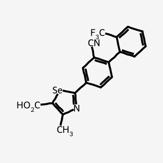 Cc1nc(-c2ccc(-c3ccccc3C(F)(F)F)c(C#N)c2)[se]c1C(=O)O